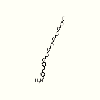 NCc1ccc(C=Cc2ccc(OCCOCCOCCOCCOCCOCCOCCOCCF)cc2)cc1